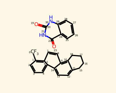 FC(F)(F)c1cccc2c1ccc1c3c(ccc12)CCCC3.O=c1[nH]c(=O)c2ccccc2[nH]1